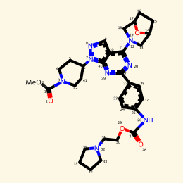 COC(=O)N1CCC(n2ncc3c(N4CC5CCC(C4)O5)nc(-c4ccc(NC(=O)OCCN5CCCC5)cc4)nc32)CC1